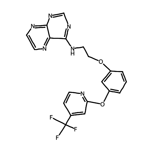 FC(F)(F)c1ccnc(Oc2cccc(OCCNc3ncnc4nccnc34)c2)c1